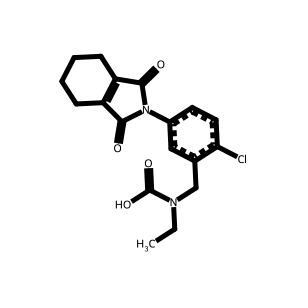 CCN(Cc1cc(N2C(=O)C3=C(CCCC3)C2=O)ccc1Cl)C(=O)O